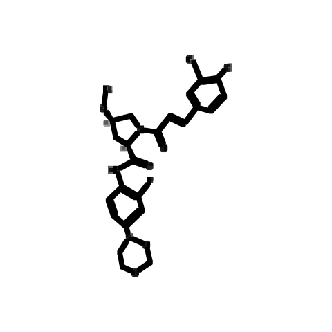 CCO[C@@H]1C[C@H](C(=O)Nc2ccc(N3CCOCO3)cc2F)N(C(=O)C=Cc2ccc(Cl)c(Cl)c2)C1